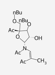 CCCCOC[C@@]1(C(C)=O)O[C@@H](N(/C=C(/C)C(C)=O)C(C)=O)[C@@H](O)C1OCCCC